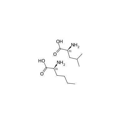 CC(C)C[C@H](N)C(=O)O.CCCC[C@H](N)C(=O)O